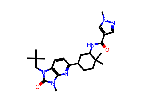 Cn1cc(C(=O)NC2CC(c3ccc4c(n3)n(C)c(=O)n4CC(C)(C)C)CCC2(C)C)cn1